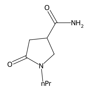 CCCN1CC(C(N)=O)CC1=O